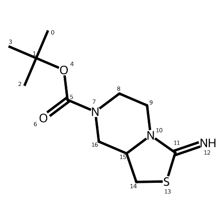 CC(C)(C)OC(=O)N1CCN2C(=N)SCC2C1